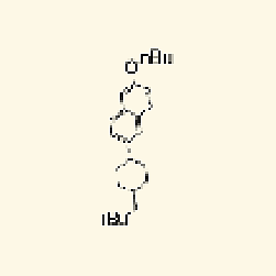 CCCCOc1ccc2cc([C@H]3CC[C@H](CC(C)CC)CC3)ccc2c1